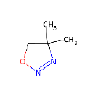 CC1(C)CON=N1